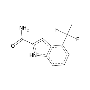 CC(F)(F)c1cccc2[nH]c(C(N)=O)cc12